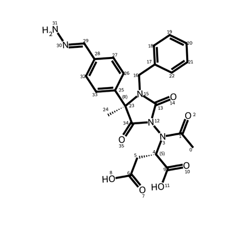 CC(=O)N([C@@H](CC(=O)O)C(=O)O)N1C(=O)N(Cc2ccccc2)[C@](C)(c2ccc(C=NN)cc2)C1=O